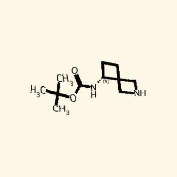 CC(C)(C)OC(=O)N[C@@H]1CCC12CNC2